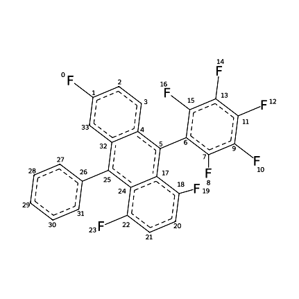 Fc1ccc2c(-c3c(F)c(F)c(F)c(F)c3F)c3c(F)ccc(F)c3c(-c3ccccc3)c2c1